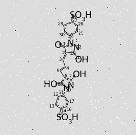 O=C1C(=CC=Cc2c(O)nn(-c3ccc(S(=O)(=O)O)cc3)c2O)C(O)=NN1c1ccc(S(=O)(=O)O)cc1